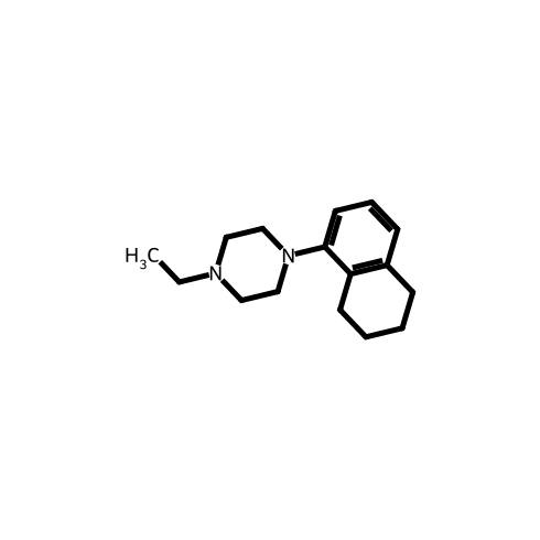 CCN1CCN(c2cccc3c2CCCC3)CC1